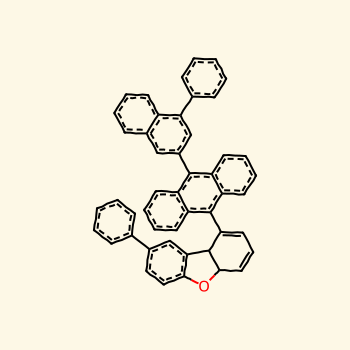 C1=CC2Oc3ccc(-c4ccccc4)cc3C2C(c2c3ccccc3c(-c3cc(-c4ccccc4)c4ccccc4c3)c3ccccc23)=C1